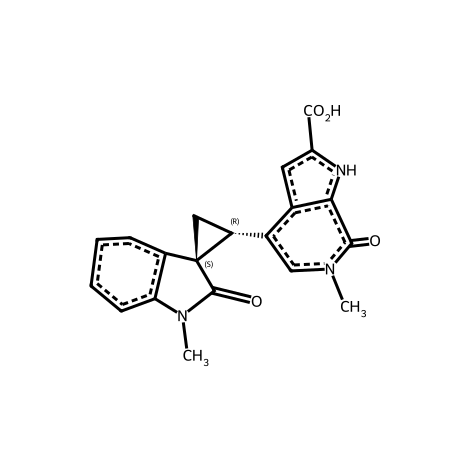 CN1C(=O)[C@]2(C[C@@H]2c2cn(C)c(=O)c3[nH]c(C(=O)O)cc23)c2ccccc21